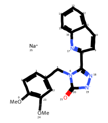 COc1ccc(Cn2c(-c3ccc4ccccc4n3)n[n-]c2=O)cc1OC.[Na+]